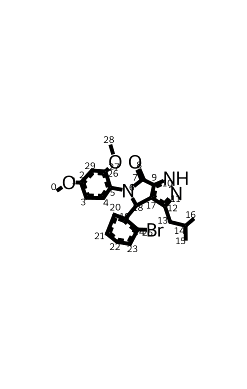 COc1ccc(N2C(=O)c3[nH]nc(CC(C)C)c3C2c2ccccc2Br)c(OC)c1